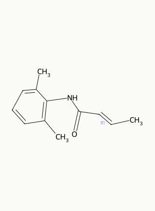 C/C=C/C(=O)Nc1c(C)cccc1C